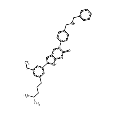 C[C@H](N)CCCc1cc(SC(F)(F)F)cc(-c2cc3cn(-c4ccc(CNCc5ccncc5)cc4)c(=O)nc3[nH]2)c1